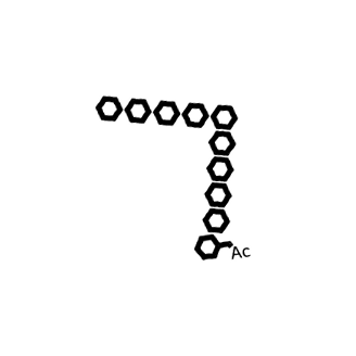 C1CCCCC1.C1CCCCC1.C1CCCCC1.C1CCCCC1.C1CCCCC1.C1CCCCC1.C1CCCCC1.C1CCCCC1.C1CCCCC1.CC(=O)CC1CCCCC1